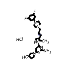 Cc1c(/C=C/CN2CCN(c3cc(F)cc(F)c3)CC2)cnn1-c1cc(N2CCC(O)C2)nc(N)n1.Cl